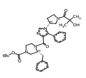 CC(C)(C)OC(=O)N1CCN(C(=O)c2ncn([C@@H]3CCN(C(=O)C(C)(C)O)C3)c2-c2ccccc2)[C@H](Cc2ccccc2)C1